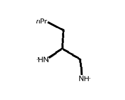 CCCCC([NH])C[NH]